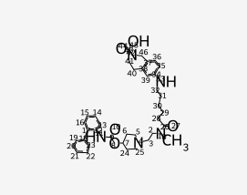 CN(CCN1CCC(OC(=O)Nc2ccccc2-c2ccccc2)CC1)C(=O)CCCCCNc1ccc2c(c1)CCN(C(=O)O)C2